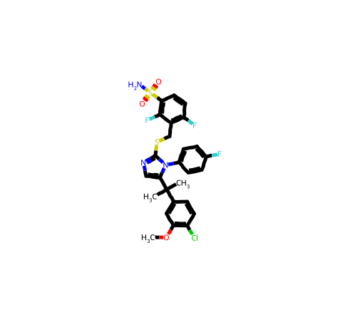 COc1cc(C(C)(C)c2cnc(SCc3c(F)ccc(S(N)(=O)=O)c3F)n2-c2ccc(F)cc2)ccc1Cl